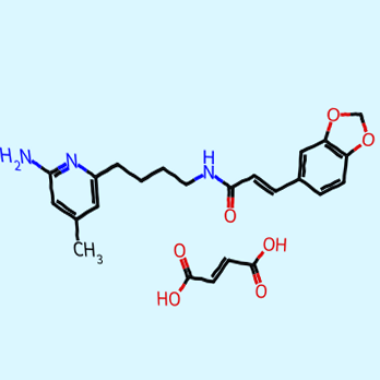 Cc1cc(N)nc(CCCCNC(=O)C=Cc2ccc3c(c2)OCO3)c1.O=C(O)C=CC(=O)O